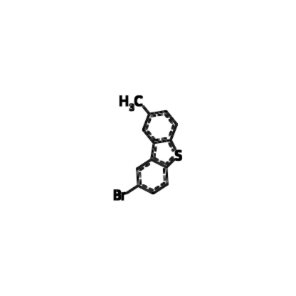 Cc1ccc2sc3ccc(Br)cc3c2c1